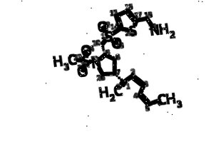 C=C(/C=C\C=C/C)[C@H]1C[C@@H](CS(=O)(=O)c2ccc(CN)s2)N(S(C)(=O)=O)C1